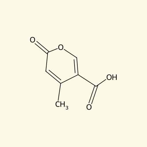 Cc1cc(=O)occ1C(=O)O